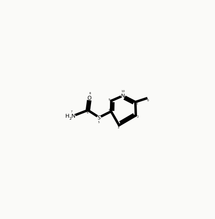 Cc1ccc(SC(N)=O)cn1